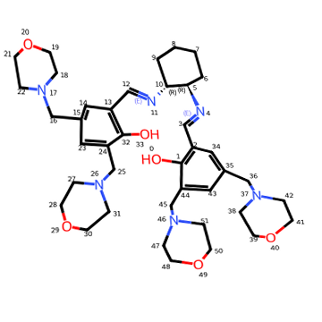 Oc1c(/C=N/[C@@H]2CCCC[C@H]2/N=C/c2cc(CN3CCOCC3)cc(CN3CCOCC3)c2O)cc(CN2CCOCC2)cc1CN1CCOCC1